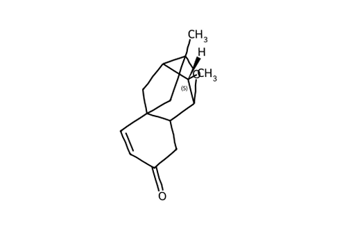 C[C@@H]1C2OC3(C)CC4(C=CC(=O)CC24)CC13